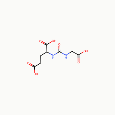 O=C(O)CCC(NC(=O)NCC(=O)O)C(=O)O